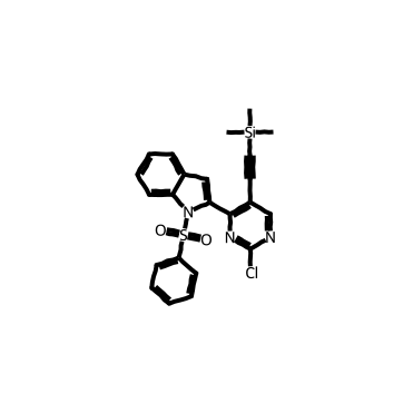 C[Si](C)(C)C#Cc1cnc(Cl)nc1-c1cc2ccccc2n1S(=O)(=O)c1ccccc1